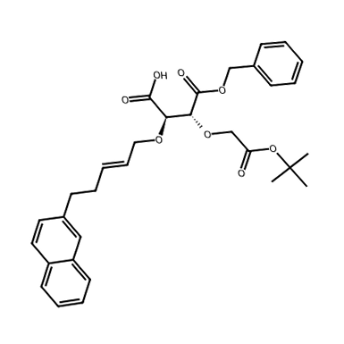 CC(C)(C)OC(=O)CO[C@@H](C(=O)OCc1ccccc1)[C@@H](OC/C=C/CCc1ccc2ccccc2c1)C(=O)O